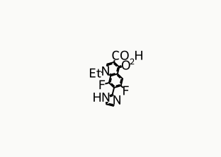 CCn1cc(C(=O)O)c(=O)c2cc(F)c(-c3ncc[nH]3)c(F)c21